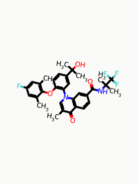 Cc1cc(F)cc(C)c1Oc1ccc(C(C)(C)O)cc1-n1cc(C)c(=O)c2ccc(C(=O)NC(C)(C)C(F)(F)F)cc21